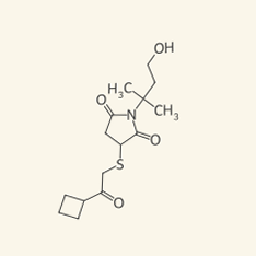 CC(C)(CCO)N1C(=O)CC(SCC(=O)C2CCC2)C1=O